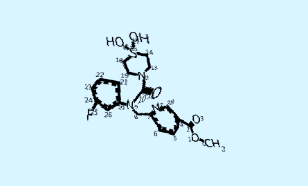 COC(=O)c1ccc(CN(C(=O)N2CCS(O)(O)CC2)c2cccc(F)c2)nc1